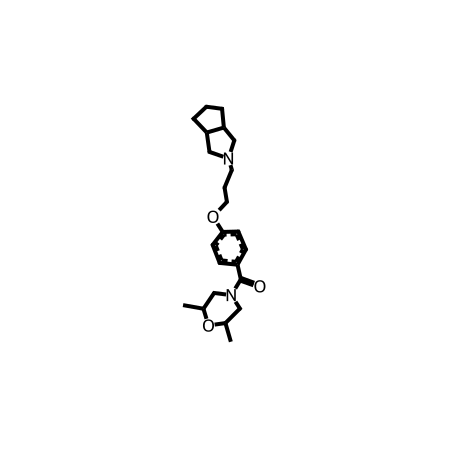 CC1CN(C(=O)c2ccc(OCCCN3CC4CCCC4C3)cc2)CC(C)O1